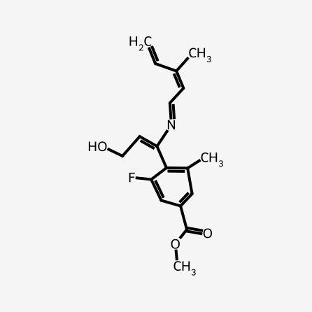 C=C\C(C)=C/C=N/C(=C/CO)c1c(C)cc(C(=O)OC)cc1F